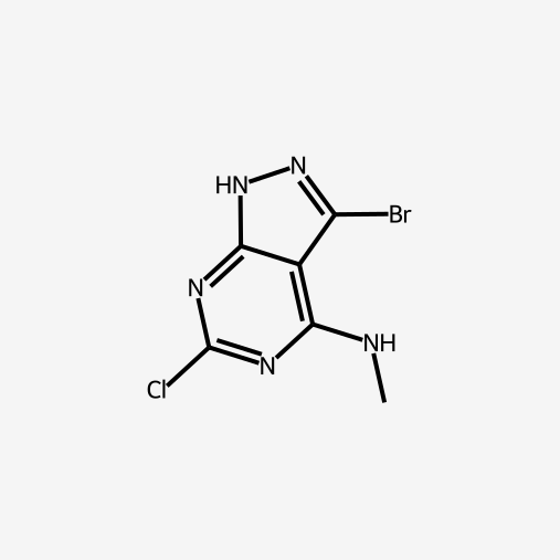 CNc1nc(Cl)nc2[nH]nc(Br)c12